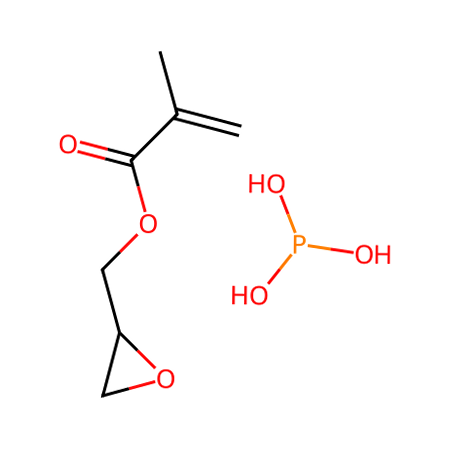 C=C(C)C(=O)OCC1CO1.OP(O)O